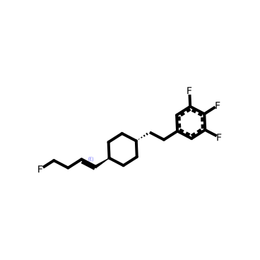 FCC/C=C/[C@H]1CC[C@H](CCc2cc(F)c(F)c(F)c2)CC1